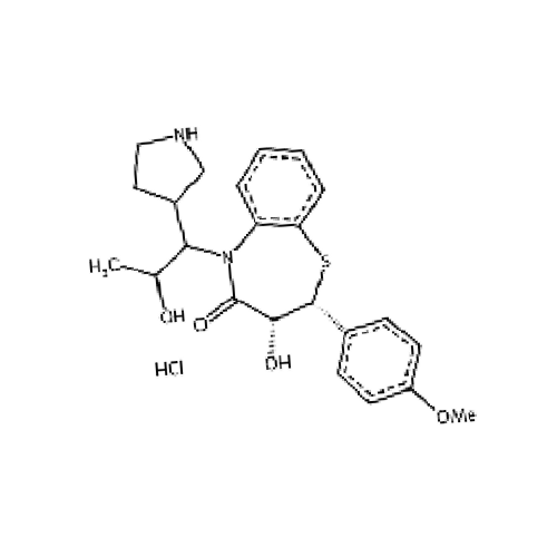 COc1ccc([C@H]2Sc3ccccc3N(C(C(C)O)C3CCNC3)C(=O)[C@H]2O)cc1.Cl